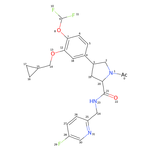 CC(=O)N1CC(c2ccc(OC(F)F)c(OCC3CC3)c2)CC1C(=O)NCc1ccc(F)cn1